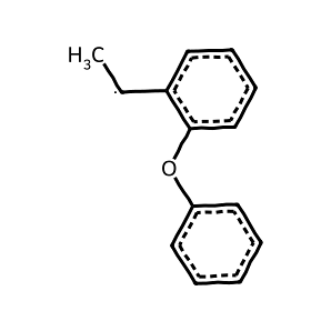 C[CH]c1ccccc1Oc1ccccc1